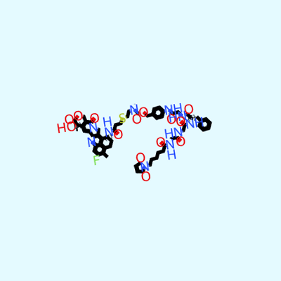 Cc1c(F)cc2nc3c(c4c2c1CC[C@@H]4NC(=O)CCSCCN(C)C(=O)OCc1ccc(NC(=O)CNC(=O)[C@H](Cc2ccccc2)NC(=O)CNC(=O)CNC(=O)CCCCCN2C(=O)C=CC2=O)cc1)Cn1c-3cc2c(c1=O)COC(=O)[C@@]2(C)O